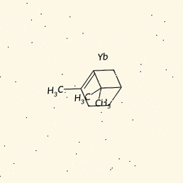 CC1=C2CC(CC1)C2(C)C.[Yb]